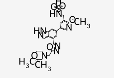 COc1ncc(-c2cc(-c3nnc(CN4CCOC(C)(C)C4)o3)c3cn[nH]c3c2)cc1CN[SH](=O)=O